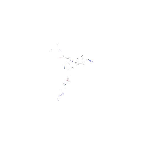 Cc1c(C(=O)CN2CCCCC2)c2ncc(CCC(=O)NCCN=[N+]=[N-])cc2n1-c1ccc(C#N)cc1